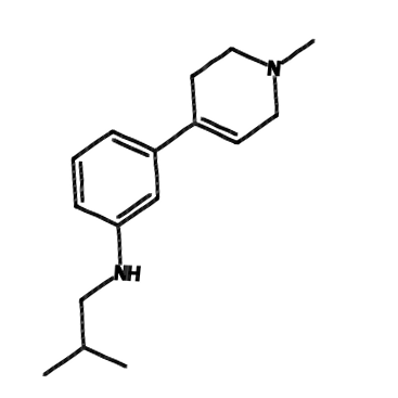 CC(C)CNc1cccc(C2=CCN(C)CC2)c1